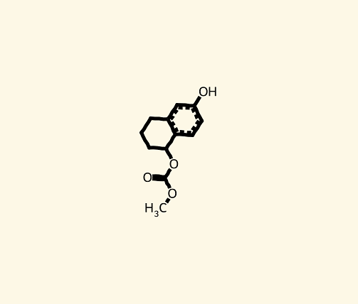 COC(=O)OC1CCCc2cc(O)ccc21